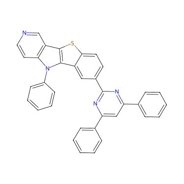 c1ccc(-c2cc(-c3ccccc3)nc(-c3ccc4sc5c6cnccc6n(-c6ccccc6)c5c4c3)n2)cc1